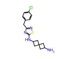 NC1CC2(C1)CC(Nc1nc(Cc3ccc(Cl)cc3)ns1)C2